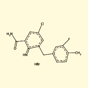 Br.Cc1ccc(Cn2cc(Cl)cc(C(N)=O)c2=N)cc1F